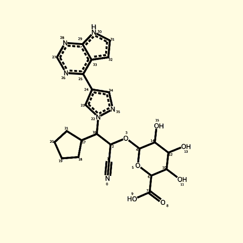 N#CC(OC1OC(C(=O)O)C(O)C(O)C1O)C(C1CCCC1)n1cc(-c2ncnc3[nH]ccc23)cn1